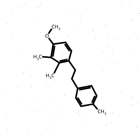 COc1ccc(CCc2ccc(C)cc2)c(C)c1C